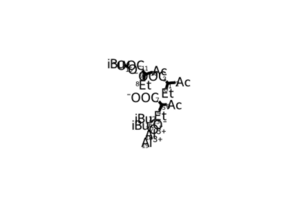 CCC(C(C)=O)C(=O)[O-].CCC(C(C)=O)C(=O)[O-].CCC(C(C)=O)C(=O)[O-].CCC(C)[O-].CCC(C)[O-].CCC(C)[O-].[Al+3].[Al+3]